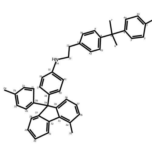 Cc1ccc(C(C)(C)c2ccc(CCNc3ccc(C4(c5ccc(C)cc5)c5ccccc5-c5c(C)cccc54)cc3)cc2)cc1